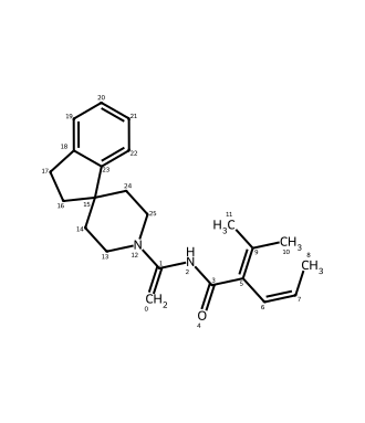 C=C(NC(=O)C(/C=C\C)=C(C)C)N1CCC2(CCc3ccccc32)CC1